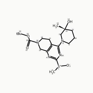 C[S+]([O-])c1nc2c(c(N3CCC[C@@](C)(O)C3)n1)CCN(C(=O)OC(C)(C)C)C2